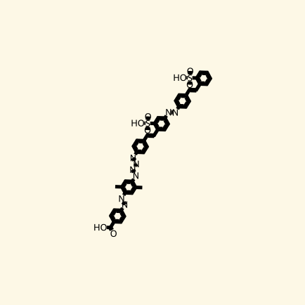 Cc1cc(N=Nc2ccc(C(=O)O)cc2)c(C)cc1N=NN=Nc1ccc(C=Cc2ccc(N=Nc3ccc(C=Cc4ccccc4S(=O)(=O)O)cc3)cc2S(=O)(=O)O)cc1